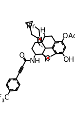 CC(=O)Oc1cc(O)c2c3c1C[C@@H]1[C@@H]4CC[C@H](NC(=O)C#Cc5ccc(C(F)(F)F)cc5)[C@H](O2)[C@]34CC[N+]1(CC(C)C)CC1CC1